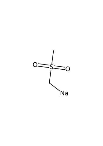 CS(=O)(=O)[CH2][Na]